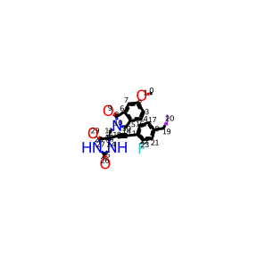 COc1ccc2c(c1)C(=O)N(C[C@@]1(C#Cc3ccc(CI)cc3F)NC(=O)NC1=O)C2